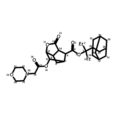 CCC(CC)(OC(=O)C1C2CC3C(OC(=O)C31)C2OC(=O)CN1CCOCC1)C12CC3CC(CC(C3)C1)C2